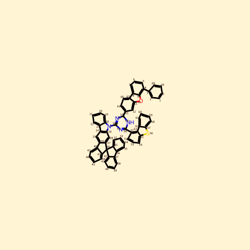 c1ccc(-c2cccc3c2oc2cc(C4N=C(n5c6ccccc6c6cc7c(cc65)C5(c6ccccc6-c6ccccc65)c5ccccc5-7)N=C(c5cccc6sc7ccccc7c56)N4)ccc23)cc1